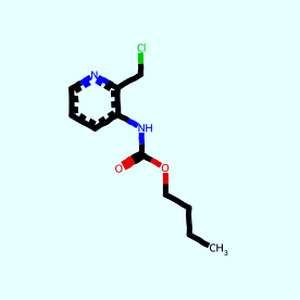 CCCCOC(=O)Nc1cccnc1CCl